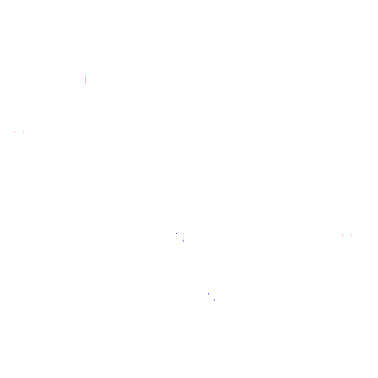 O=C(O)c1cc(F)c(-n2cnc3cc(O)ccc32)cc1Br